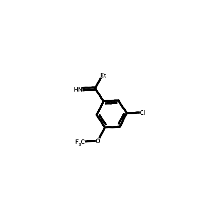 CCC(=N)c1cc(Cl)cc(OC(F)(F)F)c1